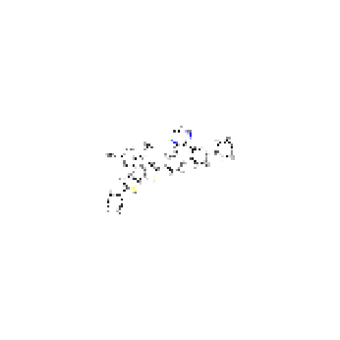 CCCCC(CC)C[Si]1(CC(CC)CCCC)c2cc(-c3ccccc3)sc2-c2sc(-c3ccc4c5ccc(-c6ccccc6)cc5c5nccnc5c4c3)cc21